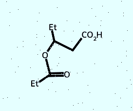 CCC(=O)OC(CC)CC(=O)O